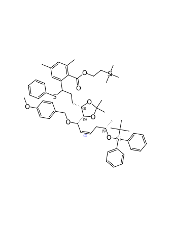 COc1ccc(COC(/C=C\C[C@H](C)O[Si](c2ccccc2)(c2ccccc2)C(C)(C)C)[C@H]2OC(C)(C)O[C@H]2CCC(Sc2ccccc2)c2cc(C)cc(C)c2C(=O)OCC[Si](C)(C)C)cc1